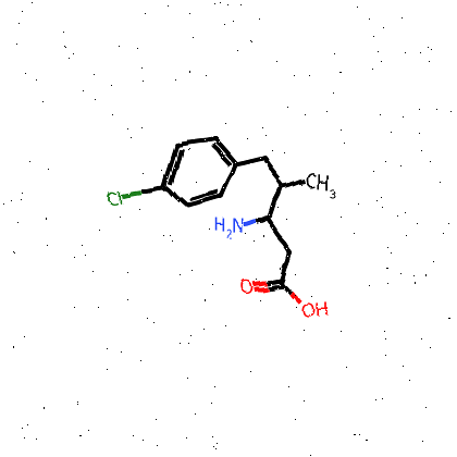 CC(Cc1ccc(Cl)cc1)C(N)CC(=O)O